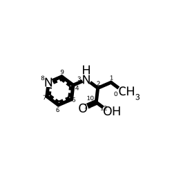 CCC(Nc1cccnc1)C(=O)O